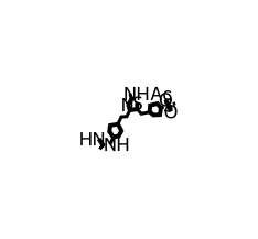 CC(=N)Nc1ccc(CCc2nc(NC(C)=O)sc2Cc2ccc(S(C)(=O)=O)cc2)cc1